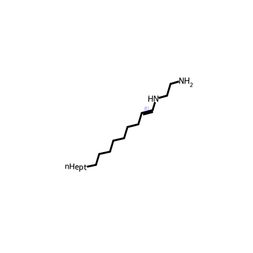 CCCCCCCCCCCCCC/C=C/NCCN